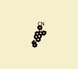 N#Cc1ccc(N(C2=CC=C3C=Cc4c(N5CCc6ccccc65)ccc5c4C3C2C=C5)c2ccccc2)cc1